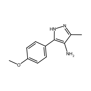 COc1ccc(-c2[nH]nc(C)c2N)cc1